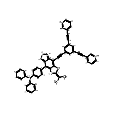 N#CC(C#N)=C1Sc2c(c(-c3ccc(N(c4ccccc4)c4ccccc4)cc3)c3nsnc3c2C#Cc2cc(C#Cc3cccnc3)cc(C#Cc3cccnc3)c2)S1